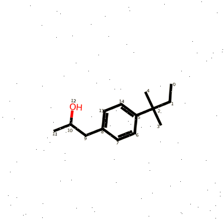 CCC(C)(C)c1ccc(CC(C)O)cc1